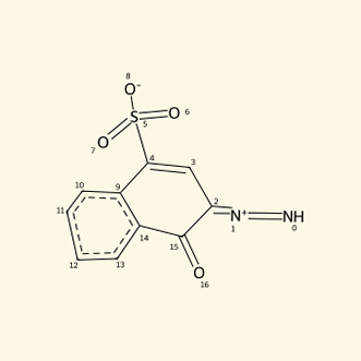 N=[N+]=C1C=C(S(=O)(=O)[O-])c2ccccc2C1=O